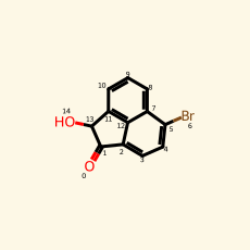 O=C1c2ccc(Br)c3cccc(c23)C1O